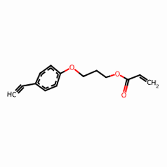 C#Cc1ccc(OCCCOC(=O)C=C)cc1